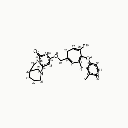 Cc1cc(OC2=C(F)C=C(COc3cc4n(c(=O)n3)CC3CCCN4C3)CC=C2F)ccn1